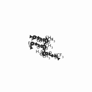 Cc1c2c(n(CCc3c4c(n(CCc5c6c(n(C)c(=O)c5C)CN(C(=O)CC5CN(c7nc(C(F)(F)F)c(C8CC8)s7)C5)C6)c(=O)c3C)CN(C(=O)CC3CN(c5ccc(F)c(OC6CC6)c5)C3)C4)c(=O)c1C)CN(C(=O)CC1CN(c3ccc(C4CC4)c(F)c3)C1C)C2